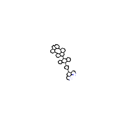 c1cnc2c(c1)cc(-c1ccc(-c3c4ccccc4c(-c4cc5cccc6c7cccc8ccc9cccc(c%10cccc4c%10c56)c9c87)c4ccccc34)cc1)c1cccnc12